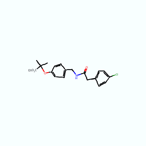 CCOC(=O)C(C)(C)Oc1ccc(CNC(=O)Cc2ccc(Cl)cc2)cc1